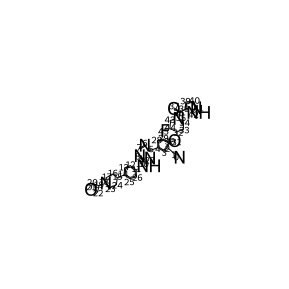 N#Cc1cc(-c2ncnc(Nc3ccc(C4CCN(C5COC5)CC4)cc3)n2)ccc1OC1CCN(C(=O)c2ccn[nH]2)CC1F